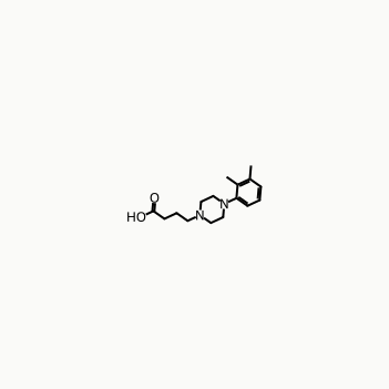 Cc1cccc(N2CCN(CCCC(=O)O)CC2)c1C